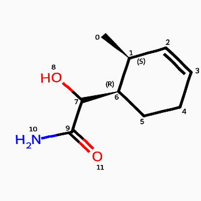 C[C@H]1C=CCC[C@H]1C(O)C(N)=O